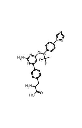 Nc1nc(O[C@@H](c2ccc(-n3cncn3)cc2)C(F)(F)F)cc(-c2ccc(CC(N)C(=O)O)cc2)n1